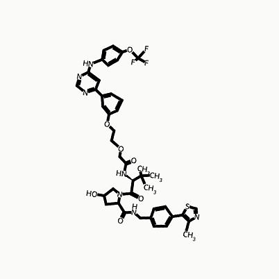 Cc1ncsc1-c1ccc(CNC(=O)C2CC(O)CN2C(=O)[C@@H](NC(=O)COCCOc2cccc(-c3cc(Nc4ccc(OC(F)(F)F)cc4)ncn3)c2)C(C)(C)C)cc1